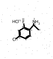 CC(N)c1ccc(Cl)cc1F.Cl